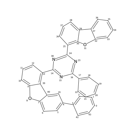 c1ccc(-c2ccc3oc4cccc(-c5nc(-c6ccccc6)nc(-c6cccc7c6oc6ccccc67)n5)c4c3c2)cc1